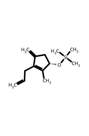 C=CCC1=C(C)[C@@H](O[Si](C)(C)C)CC1=C